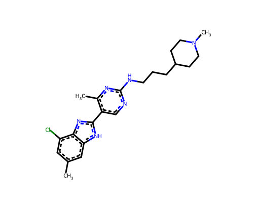 Cc1cc(Cl)c2nc(-c3cnc(NCCCC4CCN(C)CC4)nc3C)[nH]c2c1